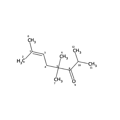 CC(C)=CCC(C)(C)C(=O)C(C)C